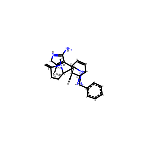 C=C1CCC([C@H]2N(Cc3ccccc3)C3C=CC2(C2=C(NC)CN=C2N)CC3N)N1C